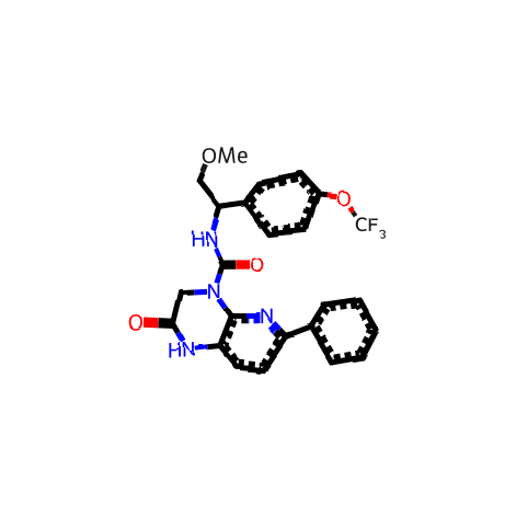 COCC(NC(=O)N1CC(=O)Nc2ccc(-c3ccccc3)nc21)c1ccc(OC(F)(F)F)cc1